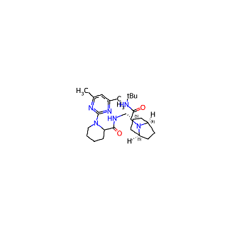 Cc1cc(C)nc(N2CCCCC2C(=O)NC[C@@H]2C[C@H]3CC[C@@H](C2)N3CC(=O)NC(C)(C)C)n1